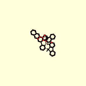 CC1(C)c2ccccc2-c2cccc(N(c3cccc(-c4ccc5ccccc5c4)c3)c3ccccc3-c3cccc4oc5c6ccccc6ccc5c34)c21